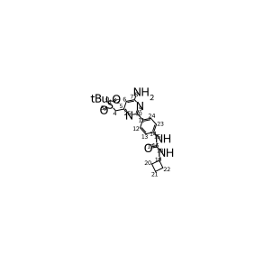 CC(C)(C)S(=O)(=O)Cc1cc(N)nc(-c2ccc(NC(=O)NC3CCC3)cc2)n1